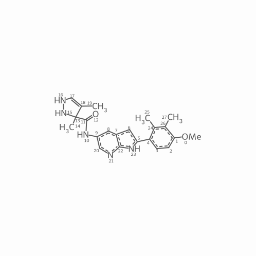 COc1ccc(-c2cc3cc(NC(=O)C4(C)NNC=C4C)cnc3[nH]2)c(C)c1C